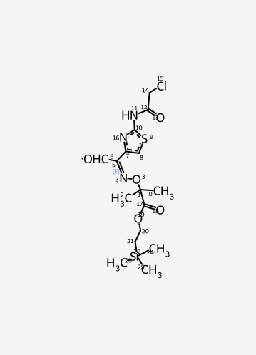 CC(C)(O/N=C(/[C]=O)c1csc(NC(=O)CCl)n1)C(=O)OCC[Si](C)(C)C